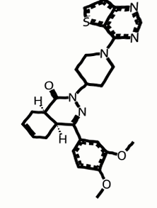 COc1ccc(C2=NN(C3CCN(c4ncnc5ccsc45)CC3)C(=O)[C@@H]3CC=CC[C@H]23)cc1OC